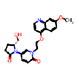 COc1ccc2c(OCCn3cc(N4C(=O)CC[C@@H]4CO)ccc3=O)ccnc2c1